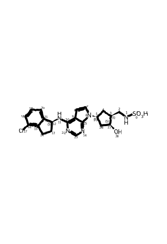 O=S(=O)(O)NC[C@@H]1C[C@@H](n2ccc3c(N[C@H]4CCc5c(Cl)cccc54)ncnc32)C[C@@H]1O